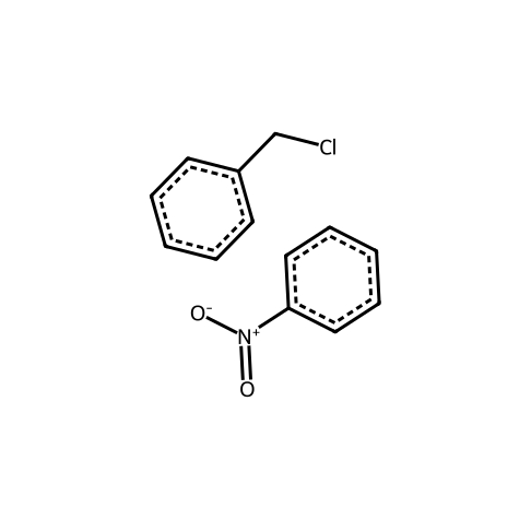 ClCc1ccccc1.O=[N+]([O-])c1ccccc1